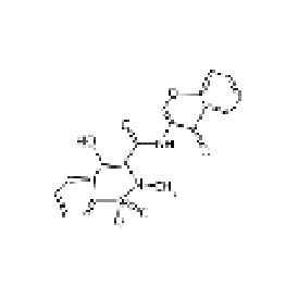 CN1C(C(=O)Nc2coc3ccccc3c2=O)=C(O)c2ccccc2S1(=O)=O